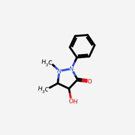 CC1C(O)C(=O)N(c2ccccc2)N1C